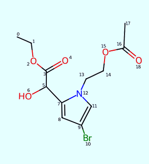 CCOC(=O)C(O)c1cc(Br)cn1CCOC(C)=O